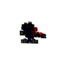 CCCCN(CCCC)c1ccc(C2(c3c(C)n(CC)c4ccccc34)OC(=O)c3ccccc32)c(OCCCOCC)c1